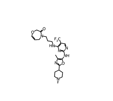 Cc1nc(C2CCN(C)CC2)oc1Nc1ncc(C(F)(F)F)c(NCCCN2CC=COCC2=O)n1